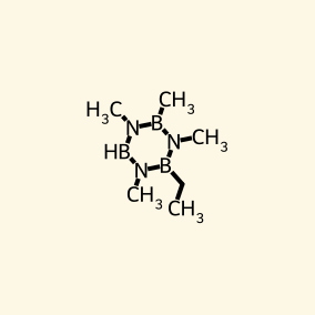 CCB1N(C)BN(C)B(C)N1C